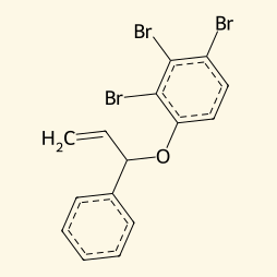 C=CC(Oc1ccc(Br)c(Br)c1Br)c1ccccc1